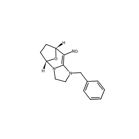 O=NC1=C2N(Cc3ccccc3)CCN2[C@@H]2CC[C@H]1O2